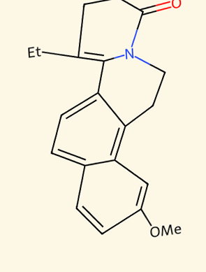 CCC1=C2c3ccc4ccc(OC)cc4c3CCN2C(=O)CC1